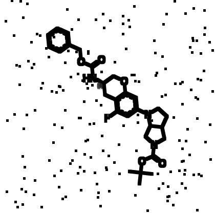 CC(C)(C)OC(=O)N1CC2CCN(c3cc(F)c4c(c3)OC[C@H](NC(=O)OCc3ccccc3)C4)C2C1